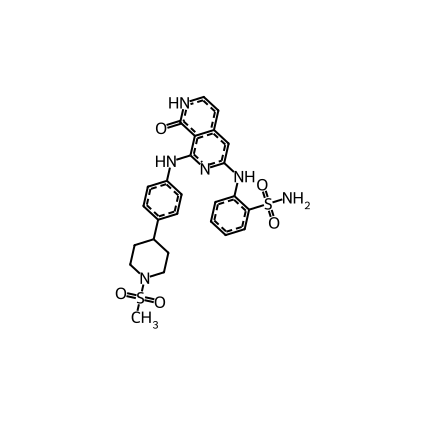 CS(=O)(=O)N1CCC(c2ccc(Nc3nc(Nc4ccccc4S(N)(=O)=O)cc4cc[nH]c(=O)c34)cc2)CC1